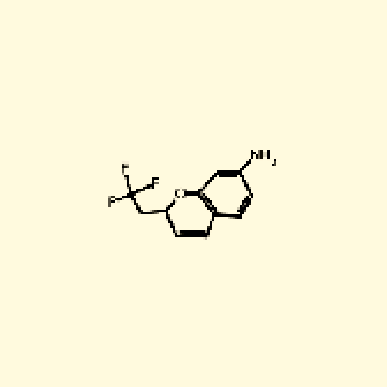 Nc1ccc2c(c1)OC(CC(F)(F)F)C=C2